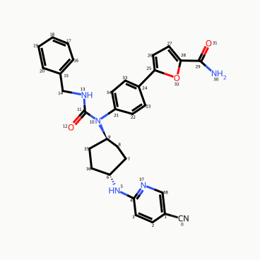 N#Cc1ccc(N[C@H]2CC[C@H](N(C(=O)NCc3ccccc3)c3ccc(-c4ccc(C(N)=O)o4)cc3)CC2)nc1